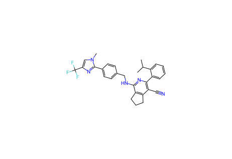 CC(C)c1ccccc1-c1nc(NCc2ccc(-c3nc(C(F)(F)F)cn3C)cc2)c2c(c1C#N)CCC2